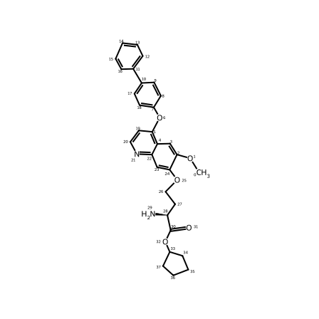 COc1cc2c(Oc3ccc(-c4ccccc4)cc3)ccnc2cc1OCC[C@H](N)C(=O)OC1CCCC1